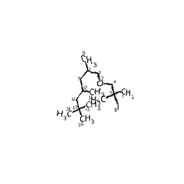 CC(COCC(C)(C)I)CC(C)CC(C)(C)C